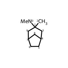 CNC1(C)CC2CCC(C2)C1